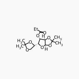 CCC(=O)O[C@@H]1[C@H]2OC(C)(C)O[C@H]2O[C@@H]1C1COC(C)(C)O1